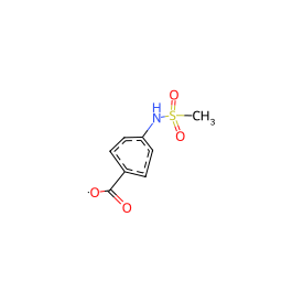 CS(=O)(=O)Nc1ccc(C([O])=O)cc1